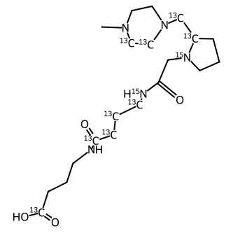 CN1CCN([13CH2][13CH]2CCC[15N]2CC(=O)[15NH][13CH2][13CH2][13CH2][13C](=O)NCCC[13C](=O)O)[13CH2][13CH2]1